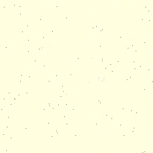 C=C/C=C(C)\C=C(/N)C1(C#N)CC1